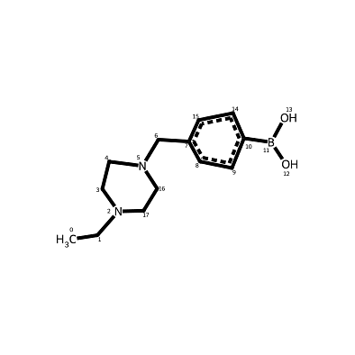 CCN1CCN(Cc2ccc(B(O)O)cc2)CC1